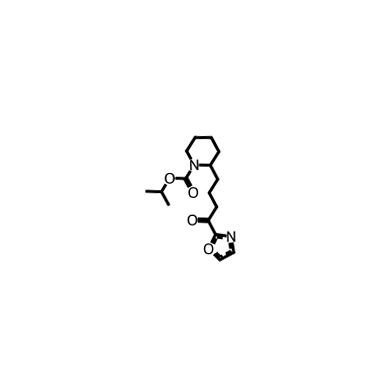 CC(C)OC(=O)N1CCCCC1CCCC(=O)c1ncco1